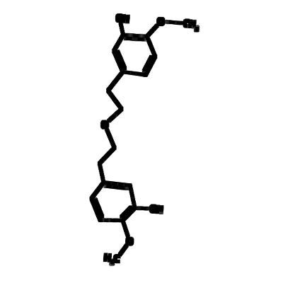 COc1ccc(CCOCCc2ccc(OC)c(O)c2)cc1O